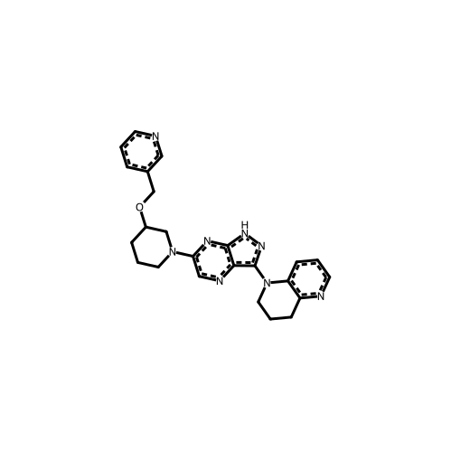 c1cncc(COC2CCCN(c3cnc4c(N5CCCc6ncccc65)n[nH]c4n3)C2)c1